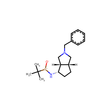 CC(C)(C)[S+]([O-])N[C@H]1CC[C@H]2CN(Cc3ccccc3)C[C@H]21